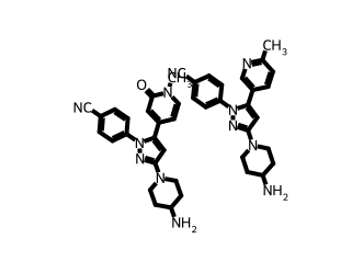 Cc1ccc(-c2cc(N3CCC(N)CC3)nn2-c2ccc(C#N)cc2)cn1.Cn1ccc(-c2cc(N3CCC(N)CC3)nn2-c2ccc(C#N)cc2)cc1=O